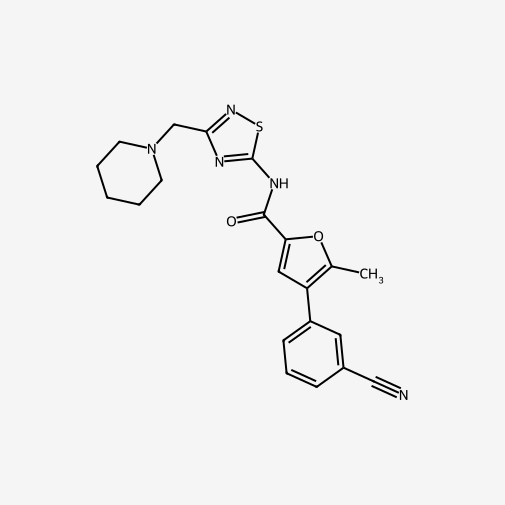 Cc1oc(C(=O)Nc2nc(CN3CCCCC3)ns2)cc1-c1cccc(C#N)c1